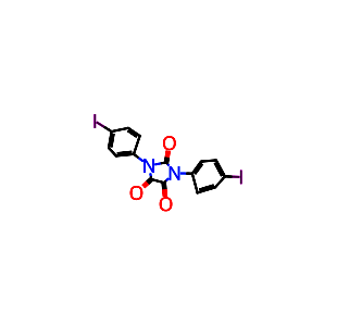 O=C1C(=O)N(c2ccc(I)cc2)C(=O)N1c1ccc(I)cc1